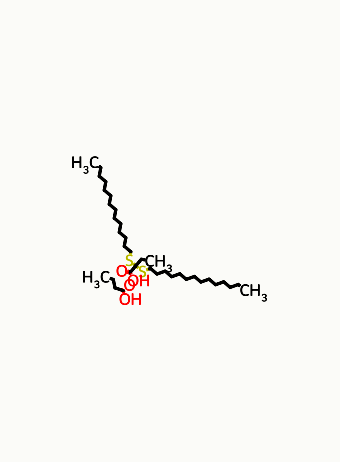 CCCC(=O)O.CCCCCCCCCCCCCCSC(CC)(SCCCCCCCCCCCCCC)C(=O)O